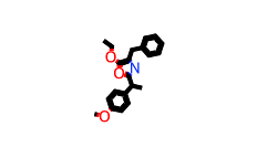 CCOc1oc(C(C)c2ccc(OC)cc2)nc1Cc1ccccc1